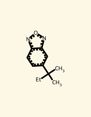 CCC(C)(C)c1ccc2nonc2c1